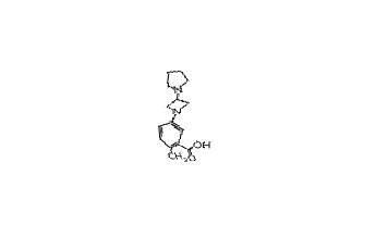 Cc1ccc(N2CC(N3CCCC3)C2)cc1C(=O)O